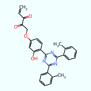 C=CC(=O)C(=O)COc1ccc(-c2nc(-c3ccccc3C)nc(-c3ccccc3C)n2)c(O)c1